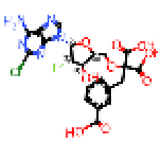 Nc1nc(Cl)nc2c1ncn2[C@@H]1O[C@H](COC(Cc2cccc(C(=O)O)c2)(C(=O)O)C(=O)O)[C@@H](O)[C@@H]1F